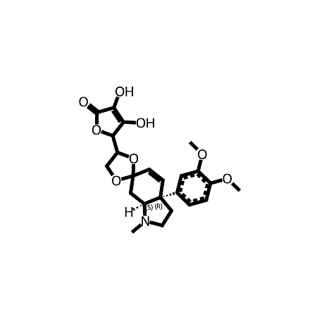 COc1ccc([C@@]23C=CC4(C[C@@H]2N(C)CC3)OCC(C2OC(=O)C(O)=C2O)O4)cc1OC